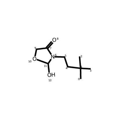 CC(C)(C)CCN1C(=O)COC1O